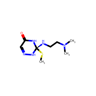 CS[C@]1(NCCN(C)C)NN=CC(=O)N1